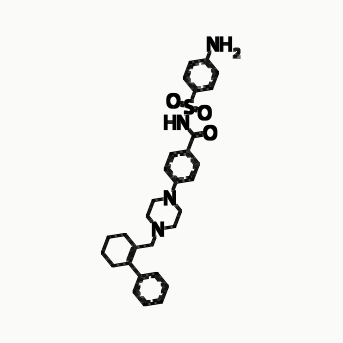 Nc1ccc(S(=O)(=O)NC(=O)c2ccc(N3CCN(CC4=C(c5ccccc5)CCCC4)CC3)cc2)cc1